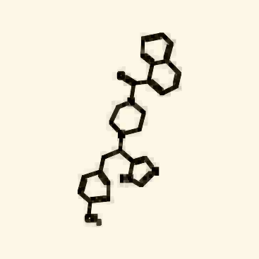 Cc1ccc(CC(c2cnc[nH]2)N2CCN(C(=O)c3cccc4ccccc34)CC2)cc1